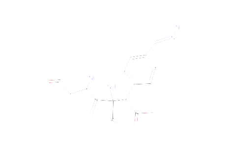 NN=Cc1ccc(C(C(=O)O)C(N)(C(=O)O)C(=O)C(N)CC=O)cc1